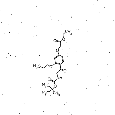 CCCOc1cc(OCC(=O)OCC)ccc1C(=O)CNC(=O)OC(C)(C)C